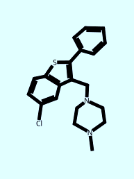 CN1CCN(Cc2c(-c3ccccc3)sc3ccc(Cl)cc23)CC1